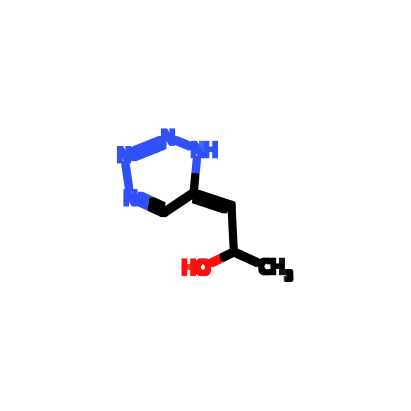 CC(O)C=C1C=NN=NN1